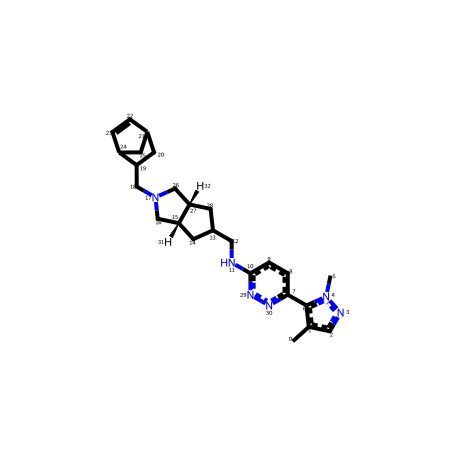 Cc1cnn(C)c1-c1ccc(NCC2C[C@@H]3CN(CC4CC5C=CC4C5)C[C@@H]3C2)nn1